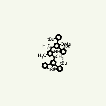 COc1c(-c2ccccc2C(C)(C)C)cc([C@@H](C)c2cc(C)cc([C@H](C)c3cc(-c4ccccc4C(C)(C)C)c(OC)c(-c4ccccc4C(C)(C)C)c3)c2N)cc1-c1ccccc1C(C)(C)C